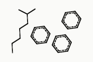 CCCCCC(C)C.c1ccccc1.c1ccccc1.c1ccccc1